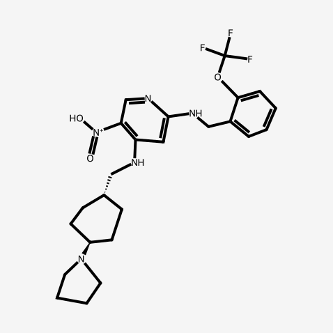 O=[N+](O)c1cnc(NCc2ccccc2OC(F)(F)F)cc1NC[C@H]1CC[C@H](N2CCCC2)CC1